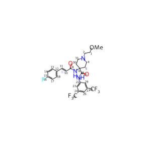 COCCN1CCC(NC(=O)/C=C/c2ccc(F)cc2)(C(=O)Nc2cc(C(F)(F)F)cc(C(F)(F)F)c2)CC1